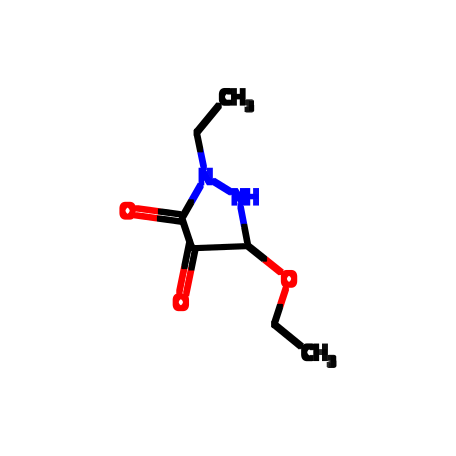 CCOC1NN(CC)C(=O)C1=O